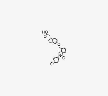 O=C(O)CC1CCc2cc(OCc3cccc4c3CN(c3ccc(Cl)cc3)C4=O)ccc21